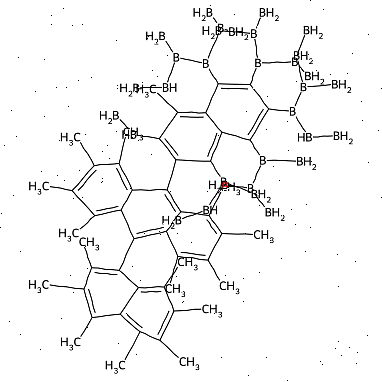 BBB(B)B(B(B)B)c1c(B(B(B)B)B(B)B)c(B(BB)B(B)B)c(B(B)B(B)B)c2c(B(B)BB)c(-c3c4c(C)c(C)c(C)c(C)c4c(-c4c(C)c(C)c(C)c5c(C)c(C)c(C)c(C)c45)c4c(C)c(C)c(C)c(C)c34)c(BB)c(C)c12